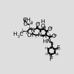 CC[C@@H]1OC2Cn3cc(C(=O)NCc4ccc(F)cc4F)c(=O)c(O)c3C(=O)N2[C@H]1COC